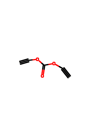 C#COC(=O)OC#C